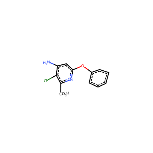 Nc1cc(Oc2ccccc2)nc(C(=O)O)c1Cl